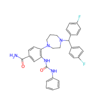 NC(=O)c1ccc(N2CCCN(C(c3ccc(F)cc3)c3ccc(F)cc3)CC2)c(NC(=O)Nc2ccccc2)c1